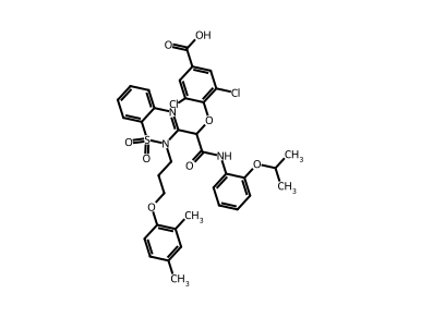 Cc1ccc(OCCCN2C(C(Oc3c(Cl)cc(C(=O)O)cc3Cl)C(=O)Nc3ccccc3OC(C)C)=Nc3ccccc3S2(=O)=O)c(C)c1